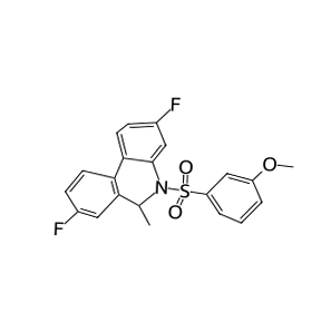 COc1cccc(S(=O)(=O)N2c3cc(F)ccc3-c3ccc(F)cc3C2C)c1